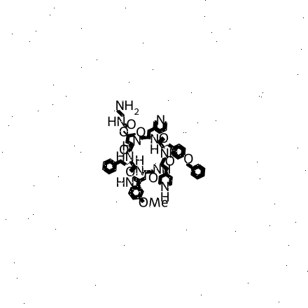 COc1ccc2[nH]cc(C[C@H]3NC(=O)[C@H](CCc4ccccc4)NC(=O)[C@@H]4C[C@@H](OC(=O)NCCN)CN4C(=O)C(Cc4cccnc4)NC(=O)[C@H](Cc4ccc(OCc5ccccc5)cc4)NC(=O)C(CC4CCNCC4)NC3=O)c2c1